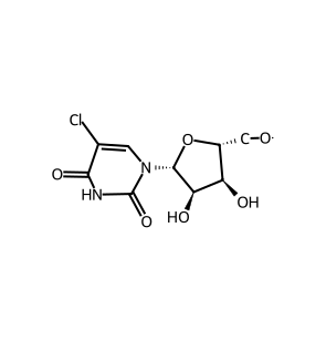 [O]C[C@H]1O[C@@H](n2cc(Cl)c(=O)[nH]c2=O)[C@H](O)[C@@H]1O